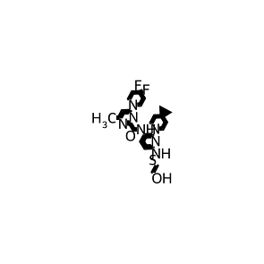 Cc1cc(N2CCC(F)(F)CC2)nc(C(=O)Nc2ccc(NSCCO)nc2N2CCC3(CC2)CC3)n1